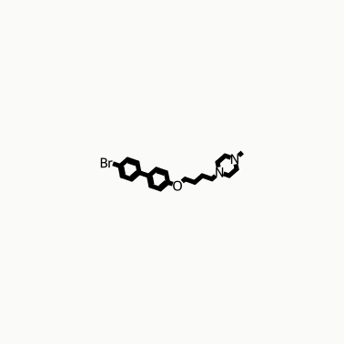 CN1CCN(CCCCOc2ccc(-c3ccc(Br)cc3)cc2)CC1